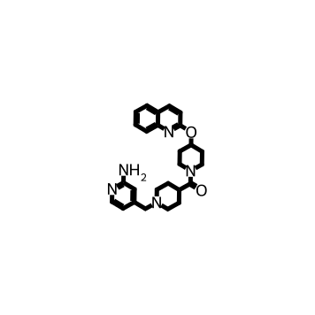 Nc1cc(CN2CCC(C(=O)N3CCC(Oc4ccc5ccccc5n4)CC3)CC2)ccn1